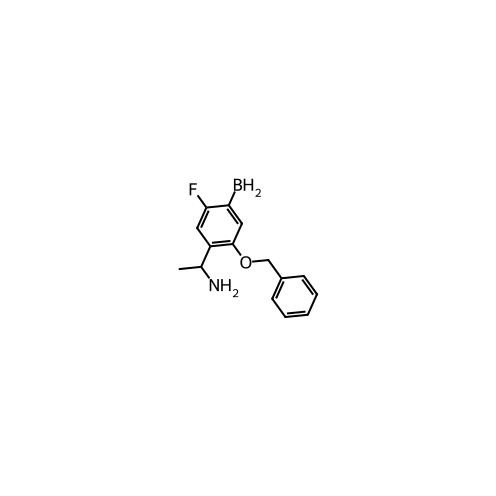 Bc1cc(OCc2ccccc2)c(C(C)N)cc1F